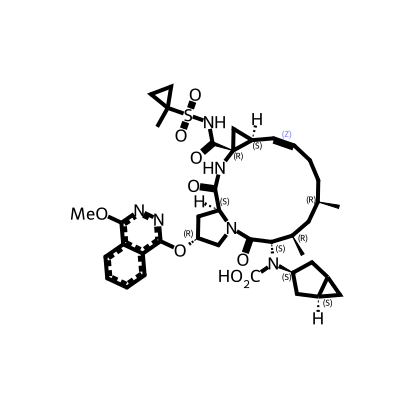 COc1nnc(O[C@@H]2C[C@H]3C(=O)N[C@]4(C(=O)NS(=O)(=O)C5(C)CC5)C[C@H]4/C=C\CC[C@@H](C)C[C@@H](C)[C@H](N(C(=O)O)[C@H]4CC5C[C@H]5C4)C(=O)N3C2)c2ccccc12